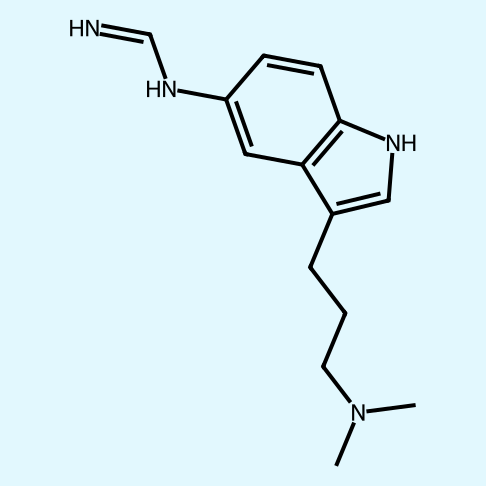 CN(C)CCCc1c[nH]c2ccc(NC=N)cc12